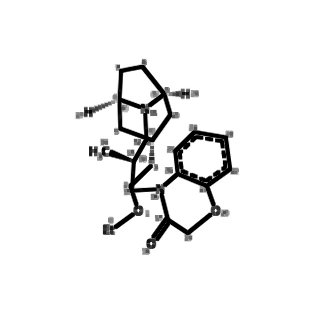 CCOCC[C@@H]1C[C@H]2CC[C@@H](C1)N2C[C@H](C)CN1C(=O)COc2ccccc21